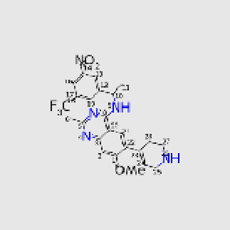 COc1cc2nc(C)nc(NC(C)c3cc([N+](=O)[O-])cc(C(F)(F)F)c3)c2cc1C1=CCNCC1